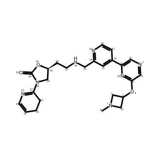 CN1CC(Oc2cncc(-c3ccnc(CNCC[C@H]4CN(C5=NC=CCC5)C(=O)O4)c3)n2)C1